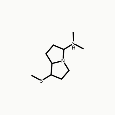 CSC1CCN2C1CCC2[SH](C)C